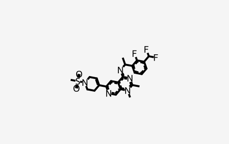 Cc1n/c(=N\C(C)c2cccc(C(F)F)c2F)c2cc(C3=CCN(S(C)(=O)=O)CC3)ncc2n1C